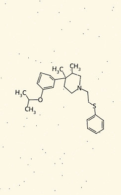 CC(C)Oc1cccc(C2(C)CCN(CCSc3ccccc3)CC2C)c1